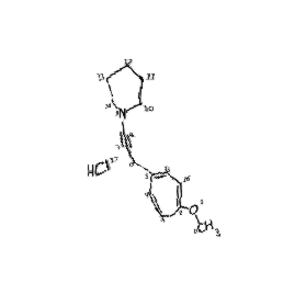 COc1ccc(CC#CN2CCCCC2)cc1.Cl